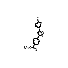 COC(=O)c1ccc(-c2cc(-c3ccc(Cl)cc3)on2)cc1